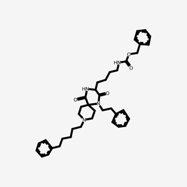 O=C(NCCCCC1NC(=O)C2(CCN(CCCCCc3ccccc3)CC2)N(CCc2ccccc2)C1=O)OCc1ccccc1